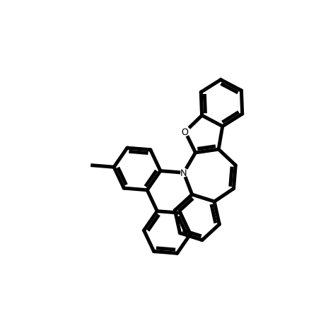 Cc1ccc(N2c3ccccc3C=Cc3c2oc2ccccc32)c(-c2ccccc2)c1